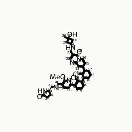 COc1nc(-c2cccc(-c3cccc(-c4ccn5c(=O)c(CNC6CC(C)(O)C6)cnc5c4)c3Cl)c2Cl)ccc1CNC[C@H]1CCC(=O)N1